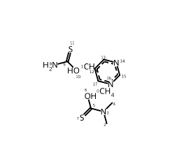 C.C.CN(C)C(O)=S.NC(O)=S.c1cncnc1